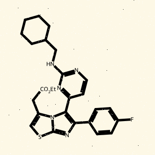 CCOC(=O)Cc1csc2nc(-c3ccc(F)cc3)c(-c3ccnc(NCC4CCCCC4)n3)n12